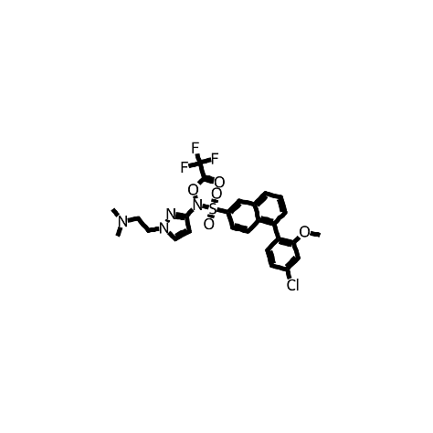 COc1cc(Cl)ccc1-c1cccc2cc(S(=O)(=O)N(OC(=O)C(F)(F)F)c3ccn(CCN(C)C)n3)ccc12